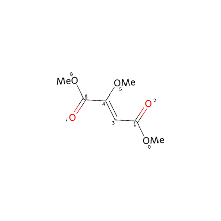 COC(=O)/C=C(\OC)C(=O)OC